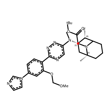 COCOc1cc(-n2ccnc2)ccc1-c1ncc(N(C)[C@H]2C[C@]3(C)CCCC([C@H]2F)N3CC(=O)OC(C)(C)C)nn1